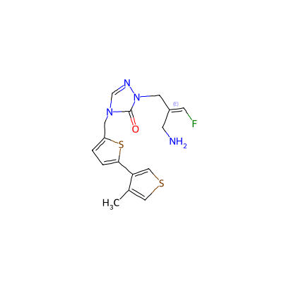 Cc1cscc1-c1ccc(Cn2cnn(C/C(=C/F)CN)c2=O)s1